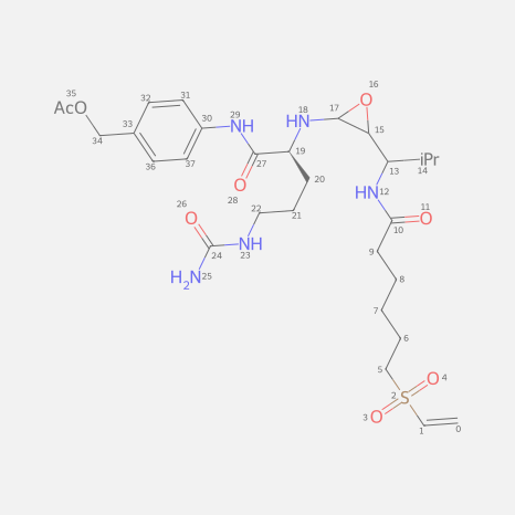 C=CS(=O)(=O)CCCCCC(=O)NC(C(C)C)C1OC1N[C@@H](CCCNC(N)=O)C(=O)Nc1ccc(COC(C)=O)cc1